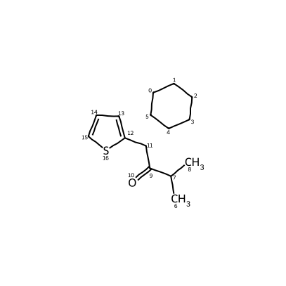 C1CCCCC1.CC(C)C(=O)Cc1cccs1